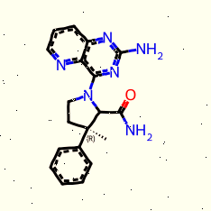 C[C@]1(c2ccccc2)CCN(c2nc(N)nc3cccnc23)C1C(N)=O